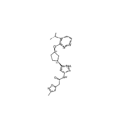 Cc1cc(CC(=O)Nc2cc([C@H]3CC[C@@H](Oc4nnccc4C(C)C)C3)[nH]n2)on1